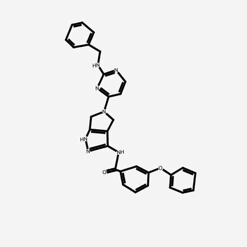 O=C(Nc1n[nH]c2c1CN(c1ccnc(NCc3ccccc3)n1)C2)c1cccc(Oc2ccccc2)c1